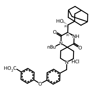 CCCCN1C(=O)[C@@H]([C@H](O)C23CC4CC(CC(C4)C2)C3)NC(=O)C12CCN(Cc1ccc(Oc3ccc(C(=O)O)cc3)cc1)CC2.Cl